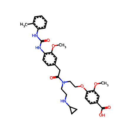 COc1cc(CC(=O)N(CCNC2CC2)CCOc2ccc(C(=O)O)cc2OC)ccc1NC(=O)Nc1ccccc1C